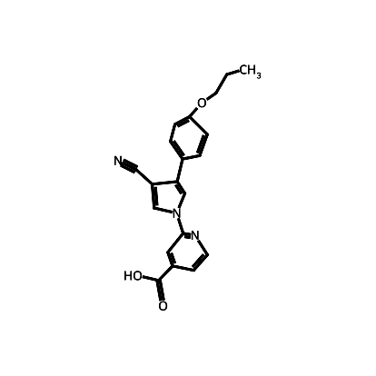 CCCOc1ccc(-c2cn(-c3cc(C(=O)O)ccn3)cc2C#N)cc1